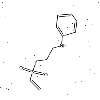 C=CS(=O)(=O)CCCNc1cc[c]cc1